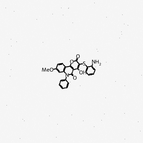 COc1ccc2c3oc(=O)c(Sc4ccccc4N)c(O)c3c(=O)n(-c3ccccc3)c2c1